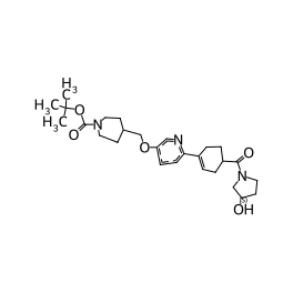 CC(C)(C)OC(=O)N1CCC(COc2ccc(C3=CCC(C(=O)N4CC[C@H](O)C4)CC3)nc2)CC1